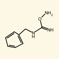 N=C(NCc1ccccc1)ON